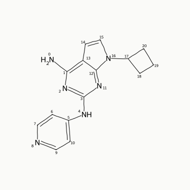 Nc1nc(Nc2ccncc2)nc2c1ccn2C1CCC1